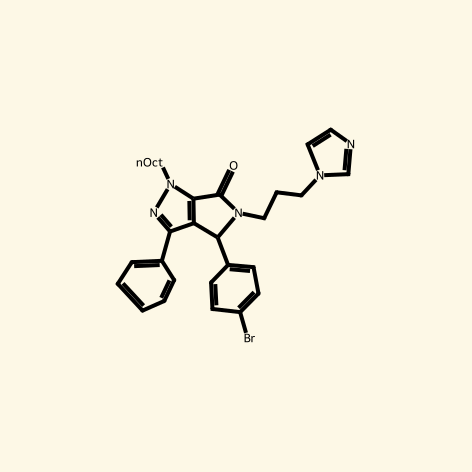 CCCCCCCCn1nc(-c2ccccc2)c2c1C(=O)N(CCCn1ccnc1)C2c1ccc(Br)cc1